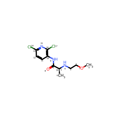 COCCN[C@@H](C)C(=O)Nc1ccc(Cl)nc1Cl